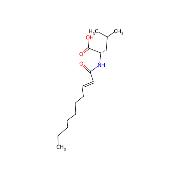 CCCCCCCC=CC(=O)N[C@@H](CC(C)C)C(=O)O